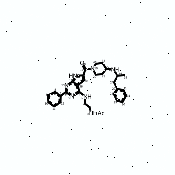 CC(=O)NCCNc1nc(-c2ccccc2)nc2[nH]c(C(=O)N3CCC(NC(C)Cc4ccccc4)CC3)cc12